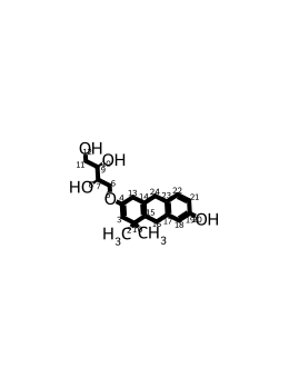 CC1(C)C=C(OC[C@@H](O)[C@H](O)CO)CC2=C1Cc1cc(O)ccc1C2